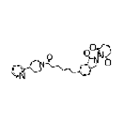 O=C(CCCCCc1ccc2c(c1)C(=O)N(N1C(=O)CCCC1=O)C2)N1CCC(c2ccccn2)CC1